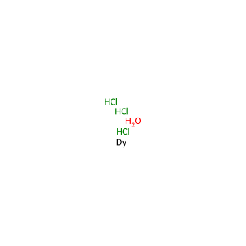 Cl.Cl.Cl.O.[Dy]